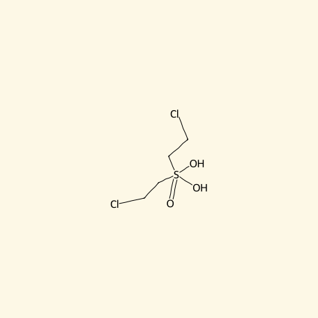 O=S(O)(O)(CCCl)CCCl